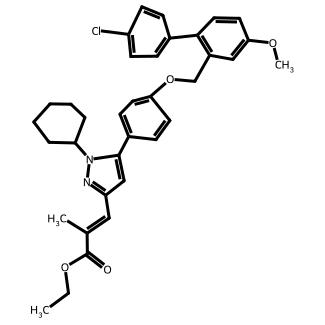 CCOC(=O)/C(C)=C/c1cc(-c2ccc(OCc3cc(OC)ccc3-c3ccc(Cl)cc3)cc2)n(C2CCCCC2)n1